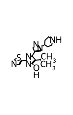 CC(C)c1c(O)nc(-c2cncs2)nc1-c1cnn(C2CCNCC2)c1